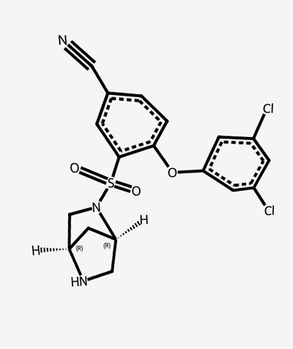 N#Cc1ccc(Oc2cc(Cl)cc(Cl)c2)c(S(=O)(=O)N2C[C@H]3C[C@@H]2CN3)c1